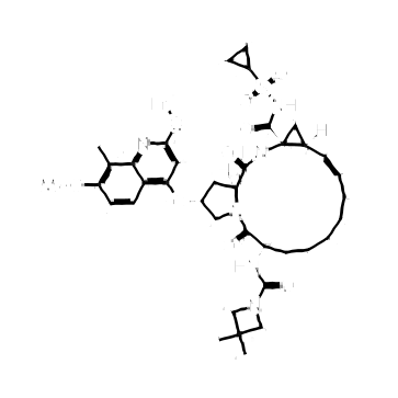 COc1ccc2c(O[C@@H]3C[C@H]4C(=O)N[C@]5(C(=O)NS(=O)(=O)C6CC6)C[C@H]5C=CCCCCC[C@H](NC(=O)N5CC(C)(C)C5)C(=O)N4C3)cc(OC(C)C)nc2c1C